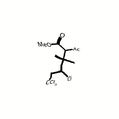 COC(=O)C(C(C)=O)C(C)(C)C(Cl)CC(Cl)(Cl)Cl